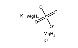 O=S(=O)([O-])[O-].[K+].[K+].[MgH2].[MgH2]